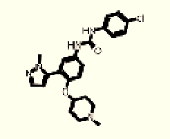 CN1CCC(Oc2ccc(NC(=O)Nc3ccc(Cl)cc3)cc2-c2ccnn2C)CC1